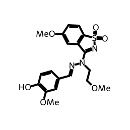 COCCN(/N=C/c1ccc(O)c(OC)c1)C1=NS(=O)(=O)c2ccc(OC)cc21